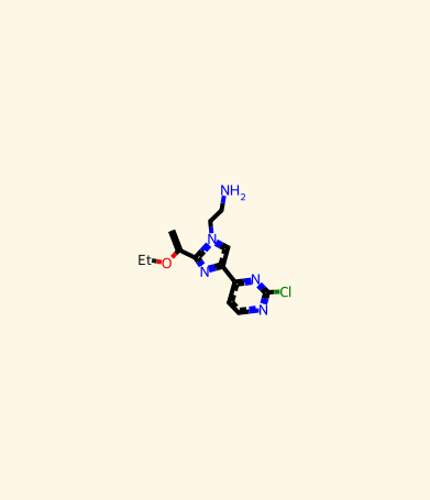 C=C(OCC)c1nc(-c2ccnc(Cl)n2)cn1CCN